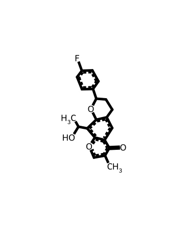 Cc1coc2c(C(C)O)c3c(cc2c1=O)CCC(c1ccc(F)cc1)O3